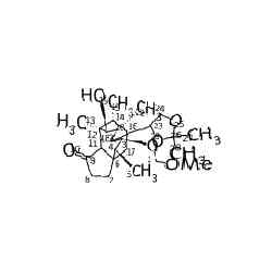 COCO[C@H]1[C@H](C)C23CCC(=O)C2[C@@](C)([C@H](C)CC3)[C@H](O)C[C@@]1(C)C1COC(C)(C)O1